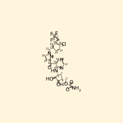 NS(=O)(=O)OC[C@H]1C[C@@H](Nc2ncncc2C(=O)c2ccn(Cc3ccc(Cl)c(SC(F)(F)F)c3)n2)[C@H](O)[C@@H]1O